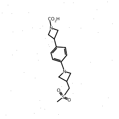 CS(=O)(=O)CC1CN(c2ccc(C3CN(C(=O)O)C3)cc2)C1